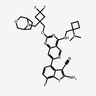 CN(C)C1(CNc2nc(OCC3(CN4C5CCC4COC5)CC(F)(F)C3)nc3cc(-c4ccc(F)c5sc(N)c(C#N)c45)ncc23)CCC1